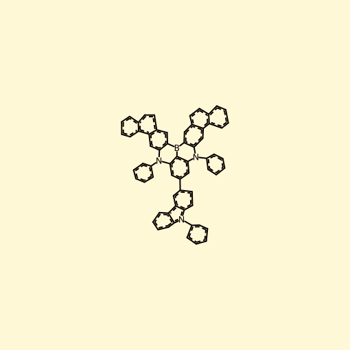 c1ccc(N2c3cc4c(ccc5ccccc54)cc3B3c4cc5ccc6ccccc6c5cc4N(c4ccccc4)c4cc(-c5ccc6c(c5)c5ccccc5n6-c5ccccc5)cc2c43)cc1